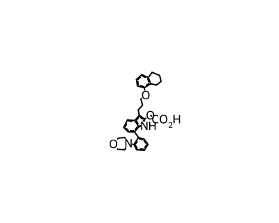 O=C(O)Oc1[nH]c2c(-c3ccccc3N3CCOCC3)cccc2c1CCCOc1cccc2c1CCCC2